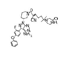 CC(C)(CC/C=C(\C#N)C(=O)N1CCC[C@@H](n2nc(-c3ccc(Oc4ccccc4)cc3F)c3c(N)ncnc32)C1)N1CCNC(=O)C1